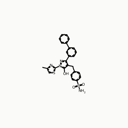 Cc1csc(-n2nc(-c3cccc(-c4ccccc4)c3)c(Cc3ccc(S(N)(=O)=O)cc3)c2O)n1